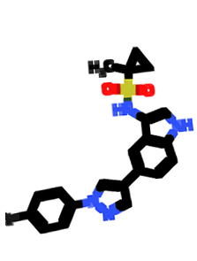 CCc1ccc(-n2cc(-c3ccc4[nH]cc(NS(=O)(=O)C5(C)CC5)c4c3)cn2)cc1